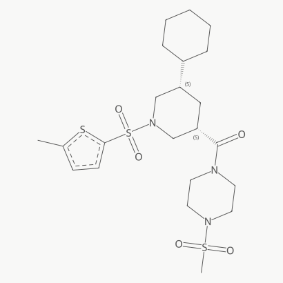 Cc1ccc(S(=O)(=O)N2C[C@@H](C(=O)N3CCN(S(C)(=O)=O)CC3)C[C@@H](C3CCCCC3)C2)s1